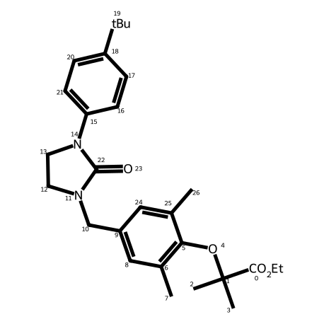 CCOC(=O)C(C)(C)Oc1c(C)cc(CN2CCN(c3ccc(C(C)(C)C)cc3)C2=O)cc1C